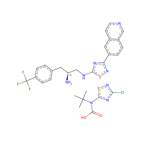 CC(C)(C)N(C(=O)O)c1nc(Cl)ns1.N[C@H](CNc1nc(-c2ccc3cnccc3c2)ns1)Cc1ccc(C(F)(F)F)cc1